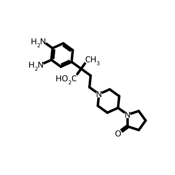 CC(CCN1CCC(N2CCCC2=O)CC1)(C(=O)O)c1ccc(N)c(N)c1